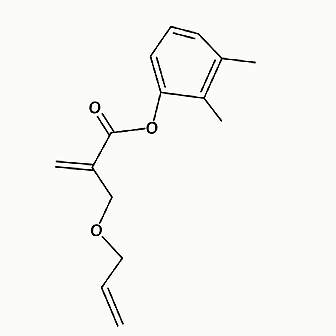 C=CCOCC(=C)C(=O)Oc1cccc(C)c1C